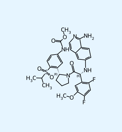 COC(=O)Nc1ccc(S(=O)(=O)C(C)C)c([C@H]2CCCN2C(=O)[C@H](Nc2ccc3c(N)nccc3c2)c2cc(OC)c(F)cc2F)c1